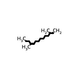 C=CC(=C)CCCCCCC=C(C)CCC